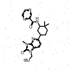 Cn1c(=O)n(CC(C)(C)C)c2ccc(C3CCC(C)(C)C(NC(=O)c4cnccn4)C3)nc21